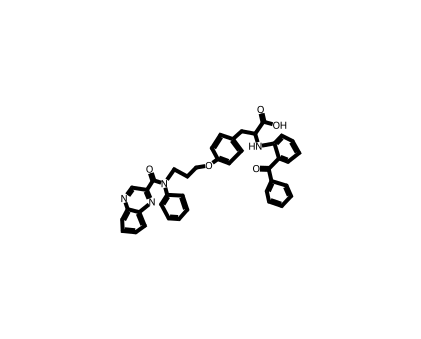 O=C(c1ccccc1)c1ccccc1NC(Cc1ccc(OCCCN(C(=O)c2cnc3ccccc3n2)c2ccccc2)cc1)C(=O)O